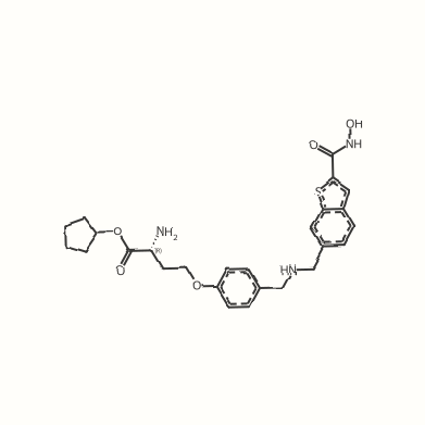 N[C@H](CCOc1ccc(CNCc2ccc3cc(C(=O)NO)sc3c2)cc1)C(=O)OC1CCCC1